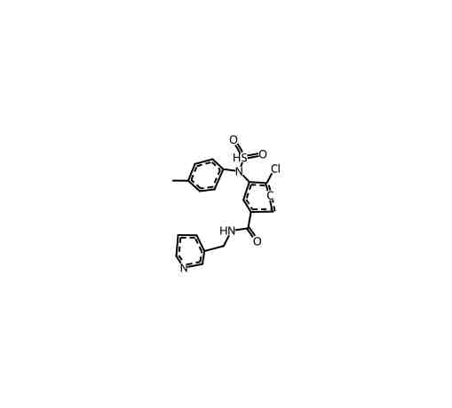 Cc1ccc(N(c2cc(C(=O)NCc3cccnc3)ccc2Cl)[SH](=O)=O)cc1